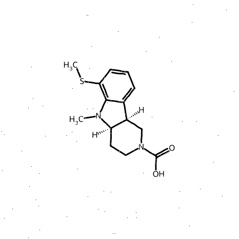 CSc1cccc2c1N(C)[C@@H]1CCN(C(=O)O)C[C@H]21